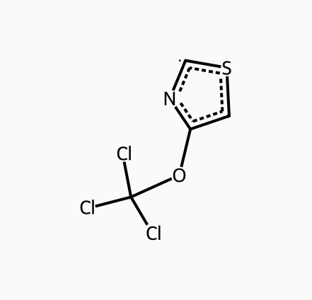 ClC(Cl)(Cl)Oc1cs[c]n1